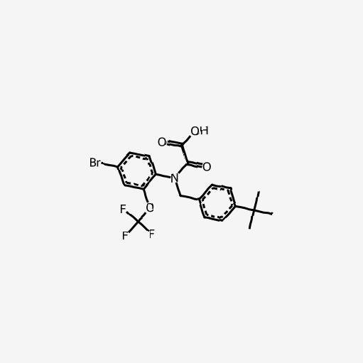 CC(C)(C)c1ccc(CN(C(=O)C(=O)O)c2ccc(Br)cc2OC(F)(F)F)cc1